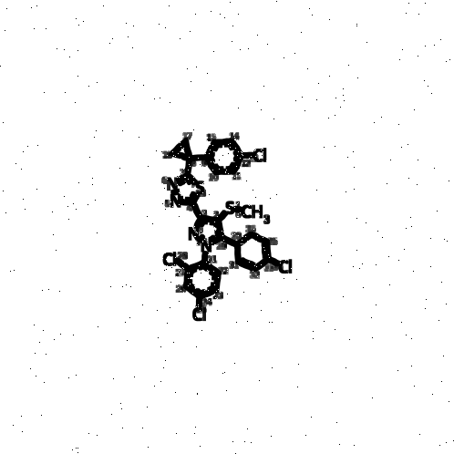 CSc1c(-c2nnc(C3(c4ccc(Cl)cc4)CC3)s2)nn(-c2ccc(Cl)cc2Cl)c1C1C=CC(Cl)=CC1